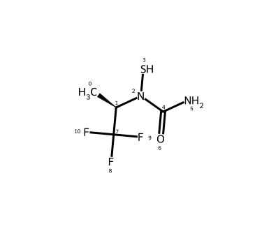 C[C@@H](N(S)C(N)=O)C(F)(F)F